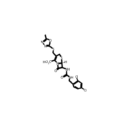 Cc1nnc(SCC2=C(C(=O)O)N3C(=O)C(NC(=O)NCc4ccc(Cl)cc4Cl)[C@@H]3SC2)o1